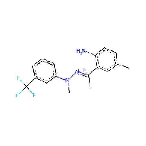 C/C(=N\N(C)c1cccc(C(F)(F)F)c1)c1cc(C)ccc1N